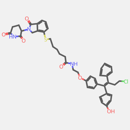 O=C(CCCCCSc1cccc2c1CN(C1CCC(=O)NC1=O)C2=O)NCCOc1ccc(C(=C(CCCl)c2ccccc2)c2ccc(O)cc2)cc1